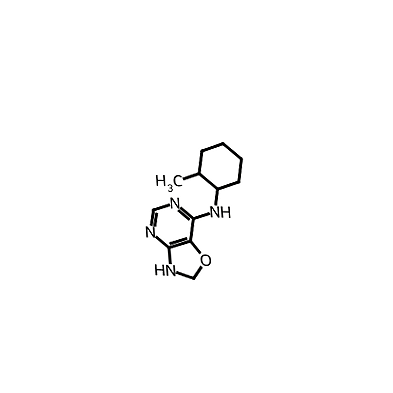 CC1CCCCC1Nc1ncnc2c1OCN2